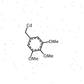 COc1cc([CH2][Cd])cc(OC)c1OC